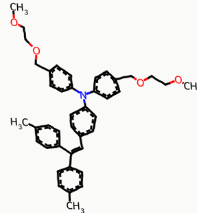 COCCOCc1ccc(N(c2ccc(C=C(c3ccc(C)cc3)c3ccc(C)cc3)cc2)c2ccc(COCCOC)cc2)cc1